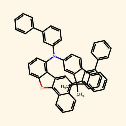 CC1(C)c2ccccc2-c2ccc(N(c3cccc(-c4ccccc4)c3)c3cccc4oc5c6ccccc6c(-c6cccc(-c7ccccc7)c6)cc5c34)cc21